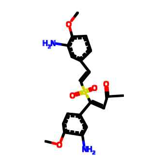 COc1ccc(C=CS(=O)(=O)/C(=C\C(C)=O)c2ccc(OC)c(N)c2)cc1N